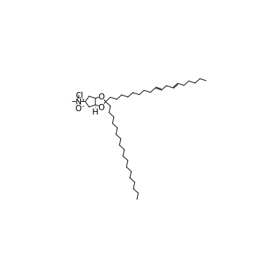 CCCCC/C=C/C/C=C/CCCCCCCCC1(CCCCCCCCCCCCCCCCCC)OC2CC([N+](C)([O-])Cl)C[C@@H]2O1